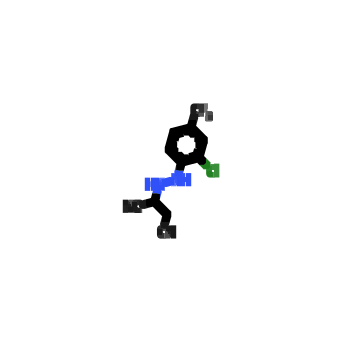 N#CCC(C#N)NNc1ccc(C(F)(F)F)cc1Cl